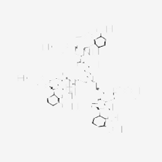 O=C(O)CCC(NC(=O)c1cccc(O)c1O)C(=O)NCCN(CCNC(=O)C(CCC(=O)O)NC(=O)c1cccc(O)c1O)CCNC(=O)C(CCC(=O)O)NC(=O)c1cccc(O)c1O